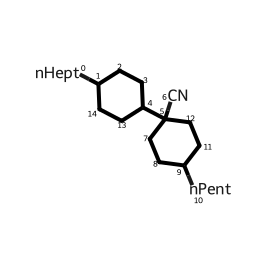 CCCCCCCC1CCC(C2(C#N)CCC(CCCCC)CC2)CC1